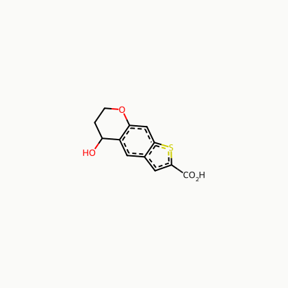 O=C(O)c1cc2cc3c(cc2s1)OCCC3O